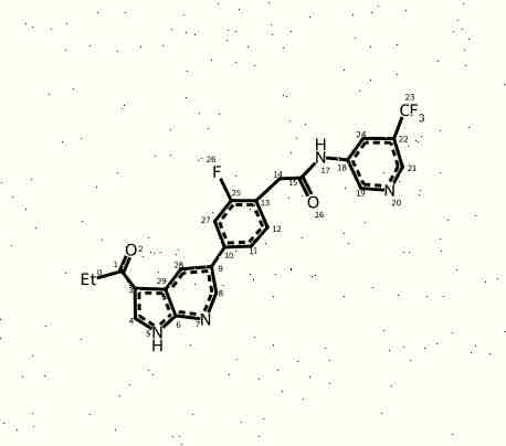 CCC(=O)c1c[nH]c2ncc(-c3ccc(CC(=O)Nc4cncc(C(F)(F)F)c4)c(F)c3)cc12